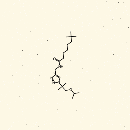 CC(C)OCC(C)(C)n1cc(CNC(=O)CCCCCC(C)(C)C)nn1